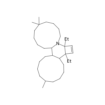 CCC12C=CC1(CC)N1CCCCC(C)(C)CCCCC1C1CCCCC(C)CCCCC12